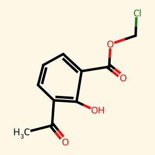 CC(=O)c1cccc(C(=O)OCCl)c1O